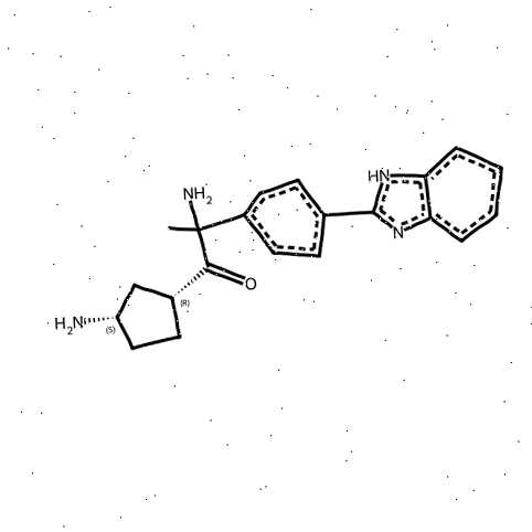 CC(N)(C(=O)[C@@H]1CC[C@H](N)C1)c1ccc(-c2nc3ccccc3[nH]2)cc1